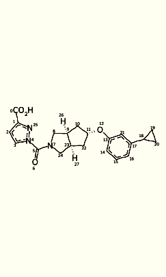 O=C(O)c1ccn(C(=O)N2C[C@H]3C[C@H](Oc4cccc(C5CC5)c4)C[C@H]3C2)n1